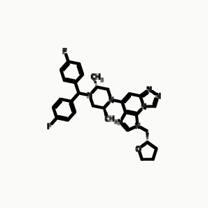 C[C@@H]1CN(c2cc3nncn3c3c2ncn3C[C@@H]2CCCO2)[C@@H](C)CN1C(c1ccc(F)cc1)c1ccc(F)cc1